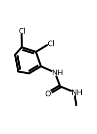 CNC(=O)Nc1cccc(Cl)c1Cl